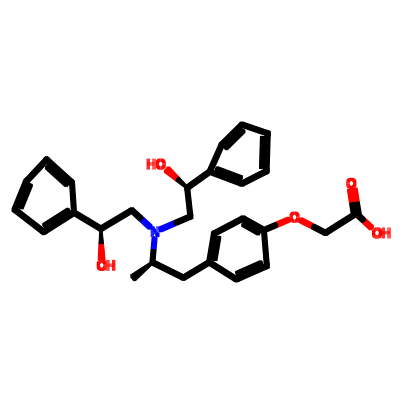 C[C@H](Cc1ccc(OCC(=O)O)cc1)N(C[C@@H](O)c1ccccc1)C[C@@H](O)c1ccccc1